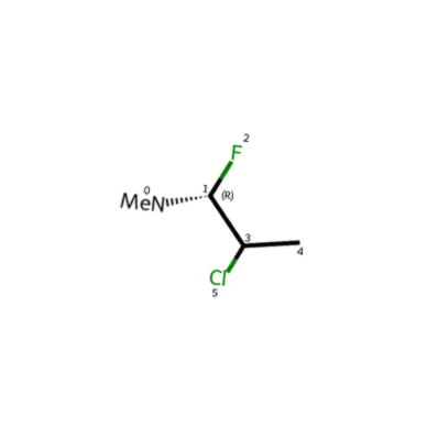 CN[C@H](F)C(C)Cl